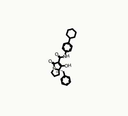 O=C(Nc1ccc(C2CCCCC2)cc1)C1=C(O)[C@@]2(Cc3ccccc3)CCCN2C1=O